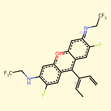 C=C/C(=C\C)c1c2cc(F)/c(=N\CC(F)(F)F)cc-2oc2cc(NCC(F)(F)F)c(F)cc12